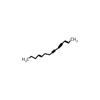 CC=CC#CC#CCCC=CCCC